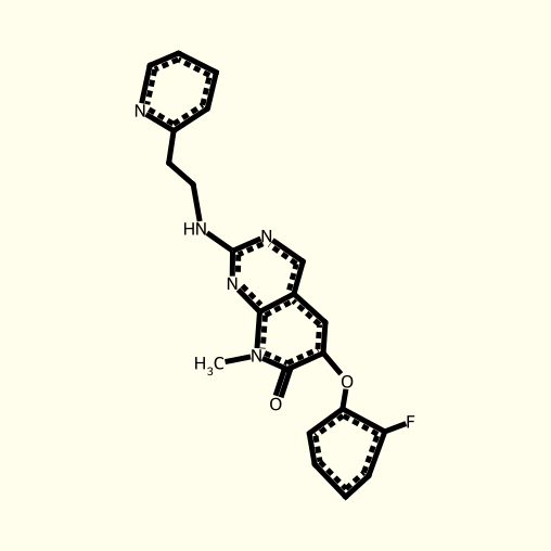 Cn1c(=O)c(Oc2ccccc2F)cc2cnc(NCCc3ccccn3)nc21